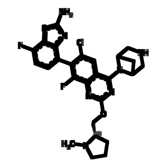 CN1CCC[C@H]1COc1nc(N2C3CNCC2C3)c2cc(Cl)c(-c3ccc(F)c4sc(N)nc34)c(F)c2n1